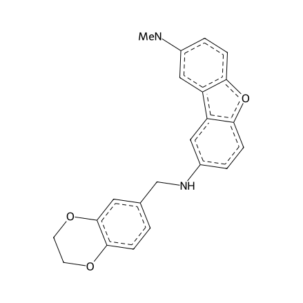 CNc1ccc2oc3ccc(NCc4ccc5c(c4)OCCO5)cc3c2c1